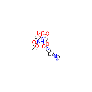 CC(C)[C@H](NC(=O)OC(C)(C)C)C(=O)N1C[C@H](OC(=O)N2Cc3ccc(-n4cccn4)cc3C2)C[C@H]1C(=O)O